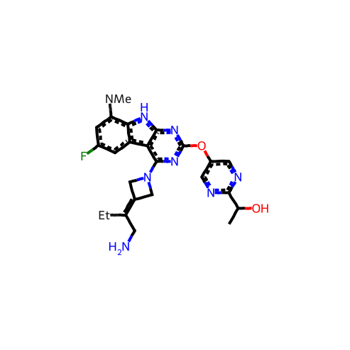 CCC(CN)=C1CN(c2nc(Oc3cnc(C(C)O)nc3)nc3[nH]c4c(NC)cc(F)cc4c23)C1